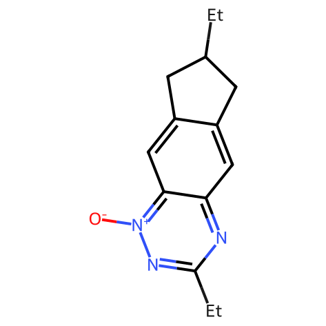 CCc1nc2cc3c(cc2[n+]([O-])n1)CC(CC)C3